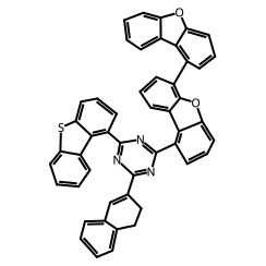 C1=C(c2nc(-c3cccc4oc5c(-c6cccc7oc8ccccc8c67)cccc5c34)nc(-c3cccc4sc5ccccc5c34)n2)CCc2ccccc21